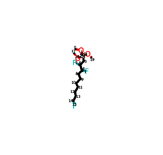 CO[Si](CC(F)C(F)CCCCCCCF)(OC)OC